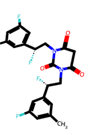 Cc1cc(F)cc([C@H](F)CN2C(=O)CC(=O)N(C[C@H](F)c3cc(F)cc(F)c3)C2=O)c1